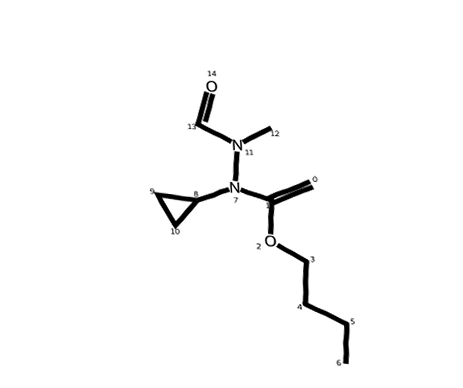 C=C(OCCCC)N(C1CC1)N(C)C=O